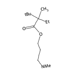 CCC(C)(C(=O)OCCCNC)C(C)(C)C